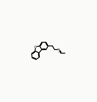 C/C=N/CCc1ccc2oc3ccccc3c2c1